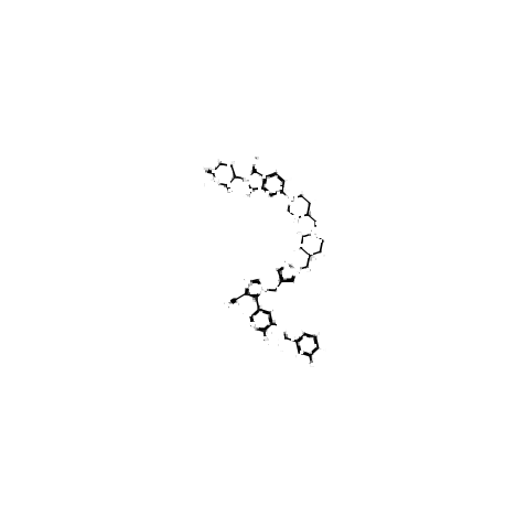 C[C@@H](Oc1cc(-c2c(C#N)ncn2Cc2cnn(CC3CCN(CC4CCN(c5ccc6c(c5)C(=O)N(C5CCC(=O)NC5=O)C6=O)CC4)CC3)c2)cnc1N)c1cccc(F)c1